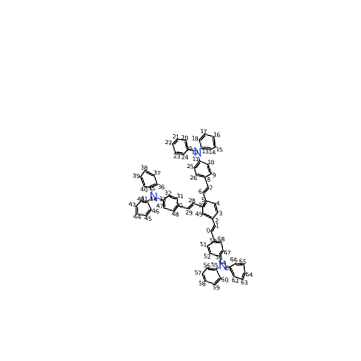 C(=Cc1ccc(C=Cc2ccc(N(c3ccccc3)c3ccccc3)cc2)c(C=Cc2ccc(N(c3ccccc3)c3ccccc3)cc2)c1)c1ccc(N(c2ccccc2)c2ccccc2)cc1